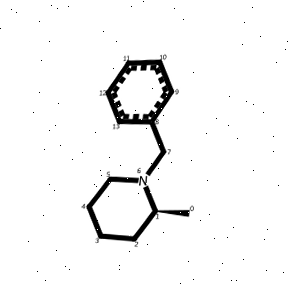 C[C@H]1CCCCN1Cc1ccccc1